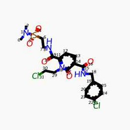 CN(C)S(=O)(=O)CCNC(=O)c1ccc(C(=O)NCc2ccc(Cl)cc2)c(=O)n1CCCl